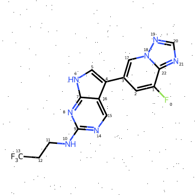 Fc1cc(-c2c[nH]c3nc(NCCC(F)(F)F)ncc23)cn2ncnc12